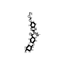 CCOCOc1ccc2nc(NC(=O)c3ccc([I+]c4ccc(C)cc4)cc3)sc2c1.[Br-]